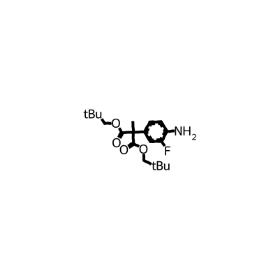 CC(C)(C)COC(=O)C(C)(C(=O)OCC(C)(C)C)c1ccc(N)c(F)c1